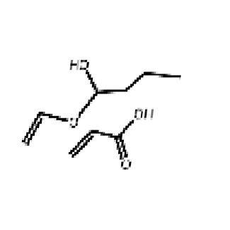 C=CC(=O)O.C=COC(O)CCC